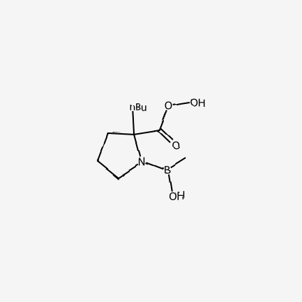 CCCCC1(C(=O)OO)CCCN1B(C)O